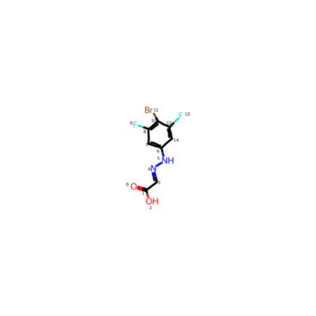 O=C(O)/C=N/Nc1cc(F)c(Br)c(F)c1